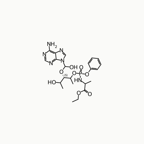 CCOC(=O)C(C)NP(=O)(Oc1ccccc1)OC(C)[C@@H](OC(O)n1cnc2c(N)ncnc21)C(C)O